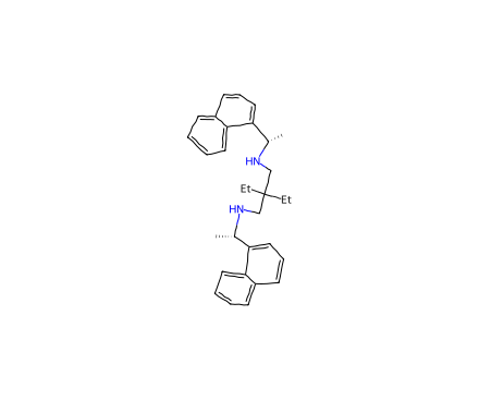 CCC(CC)(CN[C@@H](C)c1cccc2ccccc12)CN[C@@H](C)c1cccc2ccccc12